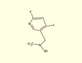 CC(C)N(C)Cc1cnc(F)cc1I